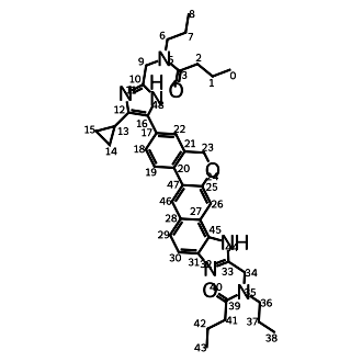 CCCC(=O)N(CCC)Cc1nc(C2CC2)c(-c2ccc3c(c2)COc2cc4c(ccc5nc(CN(CCC)C(=O)CCC)[nH]c54)cc2-3)[nH]1